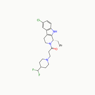 CC(C)C[C@H]1c2[nH]c3ccc(Cl)cc3c2CCN1C(=O)CCN1CCC(C(F)F)CC1